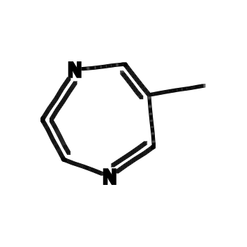 CC1=CN=C=CN=C1